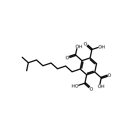 CC(C)CCCCCCc1c(C(=O)O)c(C(=O)O)cc(C(=O)O)c1C(=O)O